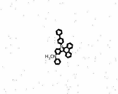 CN(c1ccccc1)c1ccc2c(c1)c1c3ccccc3c3ccccc3c1n2-c1ccc(-c2ccccc2)cc1